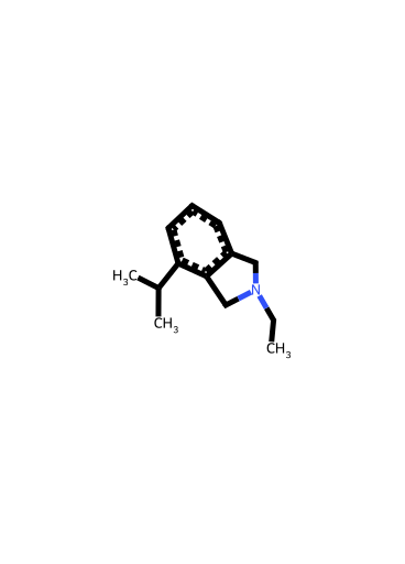 CCN1Cc2cccc(C(C)C)c2C1